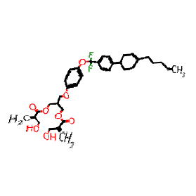 C=C(CO)C(=O)OCC(COC(=O)C(=C)CO)COc1ccc(OC(F)(F)c2ccc(C3CCC(CCCCC)CC3)cc2)cc1